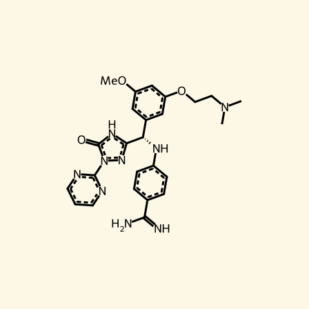 COc1cc(OCCN(C)C)cc([C@H](Nc2ccc(C(=N)N)cc2)c2nn(-c3ncccn3)c(=O)[nH]2)c1